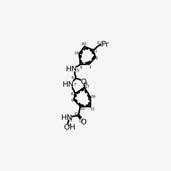 CC(C)c1ccc(NC2Nc3cc(C(=O)NO)ccc3O2)cc1